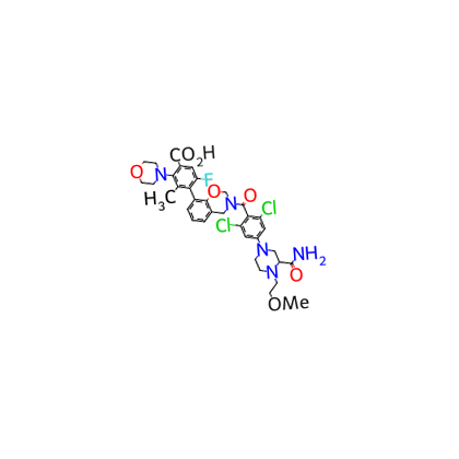 COCCN1CCN(c2cc(Cl)c(C(=O)N3COc4c(cccc4-c4c(F)cc(C(=O)O)c(N5CCOCC5)c4C)C3)c(Cl)c2)CC1C(N)=O